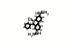 CC[n+]1c(-c2ccccc2)c2cc(NN)ccc2c2ccc(NN)cc21